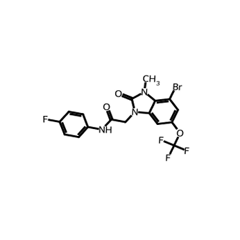 Cn1c(=O)n(CC(=O)Nc2ccc(F)cc2)c2cc(OC(F)(F)F)cc(Br)c21